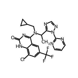 CC(c1ncnn1-c1ncccn1)N(CC1CC1)c1nc(=O)[nH]c2c(Cl)cc(C(F)(F)F)cc12